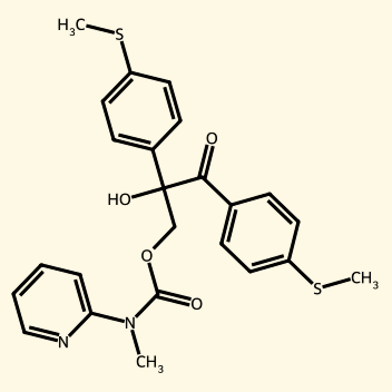 CSc1ccc(C(=O)C(O)(COC(=O)N(C)c2ccccn2)c2ccc(SC)cc2)cc1